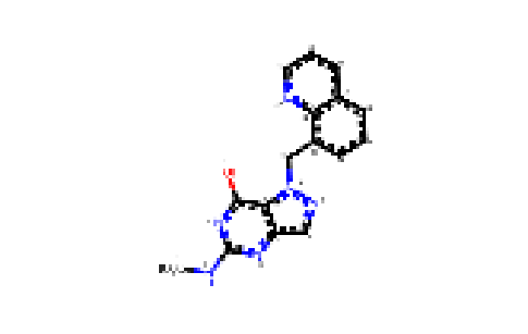 O=C(O)Nc1nc(O)c2c(cnn2Cc2cccc3cccnc23)n1